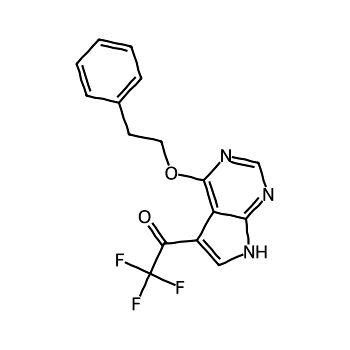 O=C(c1c[nH]c2ncnc(OCCc3ccccc3)c12)C(F)(F)F